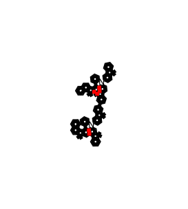 CC1(C)c2ccccc2-c2cc(N(c3ccc4c(c3)C(C)(C)c3cc(-c5ccc6c(c5)C(C)(C)c5ccc(N(c7ccc8c(c7)C(C)(C)c7ccccc7-8)c7ccccc7-c7cccc8c7-c7c(ccc9ccccc79)C8(C)C)cc5-6)ccc3-4)c3ccccc3-c3cccc4c3-c3ccc5ccccc5c3C4(C)C)ccc21